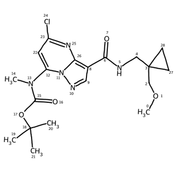 COCC1(CNC(=O)c2cnn3c(N(C)C(=O)OC(C)(C)C)cc(Cl)nc23)CC1